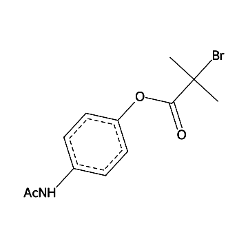 CC(=O)Nc1ccc(OC(=O)C(C)(C)Br)cc1